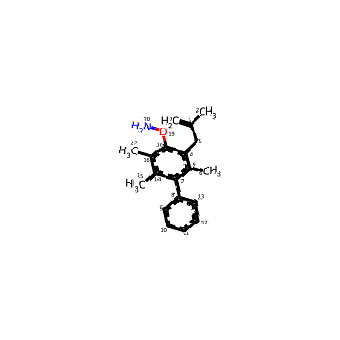 C=C(C)Cc1c(C)c(-c2ccccc2)c(C)c(C)c1ON